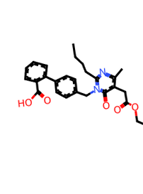 CCCCc1nc(C)c(CC(=O)OCC)c(=O)n1Cc1ccc(-c2ccccc2C(=O)O)cc1